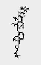 CN1c2nc(S(C)(=O)=O)sc2C2C=NN(Cc3cccc4c3cnn4COCC[Si](C)(C)C)C(=O)C21